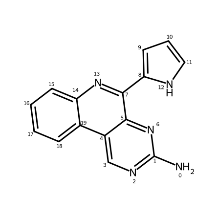 Nc1ncc2c(n1)c(-c1ccc[nH]1)nc1ccccc12